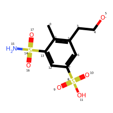 Cc1c(CC[O])cc(S(=O)(=O)O)cc1S(N)(=O)=O